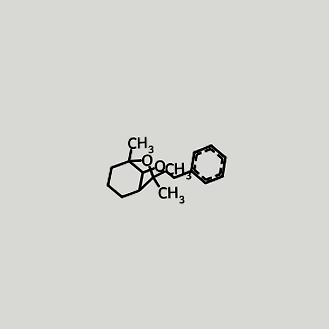 CC1(C)OC2(C)CCCC1C2OCc1ccccc1